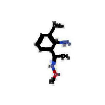 CCO/N=C(\C)c1cccc(OC)c1N